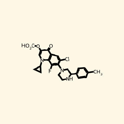 Cc1ccc(C2CN(c3c(Cl)cc4c(=O)c(OC(=O)O)cn(C5CC5)c4c3F)CCN2)cc1